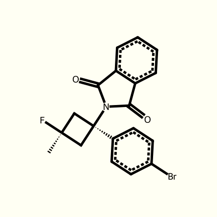 C[C@]1(F)C[C@@](c2ccc(Br)cc2)(N2C(=O)c3ccccc3C2=O)C1